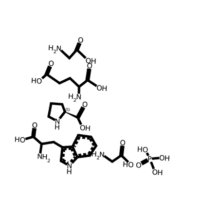 NC(CCC(=O)O)C(=O)O.NC(Cc1c[nH]c2ccccc12)C(=O)O.NCC(=O)O.NCC(=O)O.O=C(O)[C@@H]1CCCN1.O=P(O)(O)O